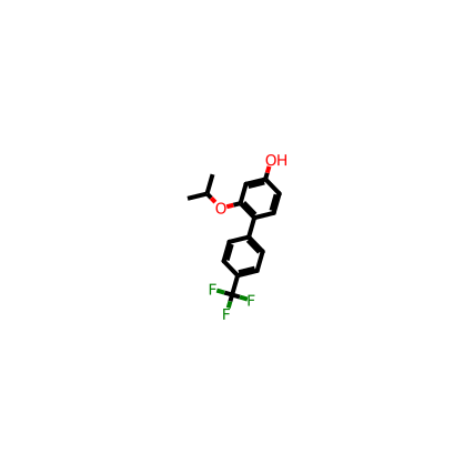 CC(C)Oc1cc(O)ccc1-c1ccc(C(F)(F)F)cc1